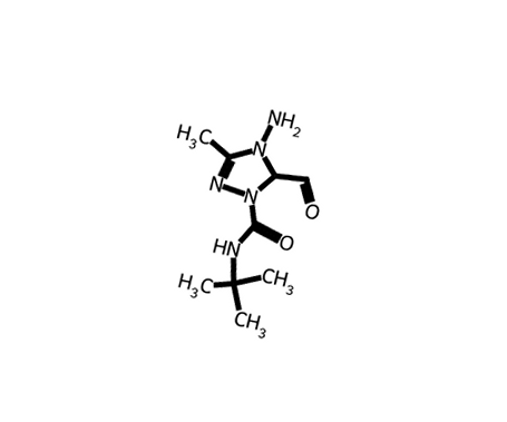 CC1=NN(C(=O)NC(C)(C)C)C(C=O)N1N